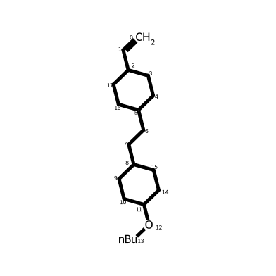 C=CC1CCC(CCC2CCC(OCCCC)CC2)CC1